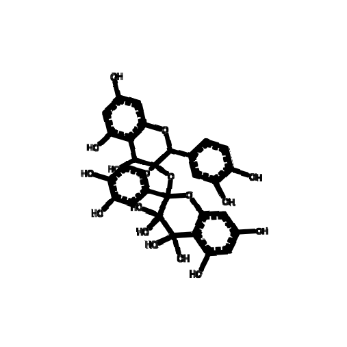 Oc1cc(O)c2c(c1)OC(c1ccc(O)c(O)c1)C(O)(OC1(c3ccc(O)c(O)c3)Oc3cc(O)cc(O)c3C(O)(O)C1(O)O)C2O